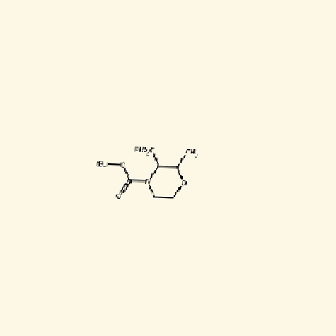 CCOC(=O)C1C(C)OCCN1C(=O)OC(C)(C)C